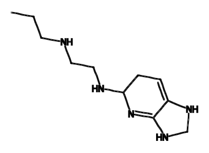 CCCNCCNC1CC=C2NCNC2=N1